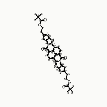 CC(C)(C)C(=O)OCCc1cc2c(nc3c4ccc5c(=O)n6c7cc(CCOC(=O)C(C)(C)C)sc7nc6c6ccc(c(=O)n23)c4c56)s1